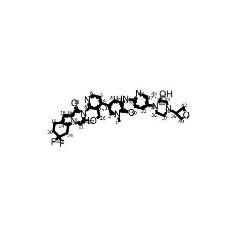 Cn1cc(-c2ccnc(-n3ccn4c5c(cc4c3=O)CCC(F)(F)C5)c2CO)cc(Nc2ccc(N3CCN(C4COC4)C[C@]3(C)O)cn2)c1=O